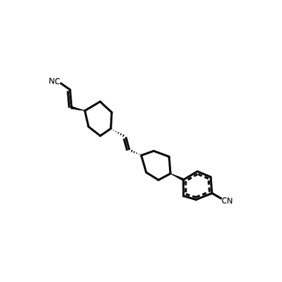 N#CC=C[C@H]1CC[C@H](/C=C/[C@H]2CC[C@H](c3ccc(C#N)cc3)CC2)CC1